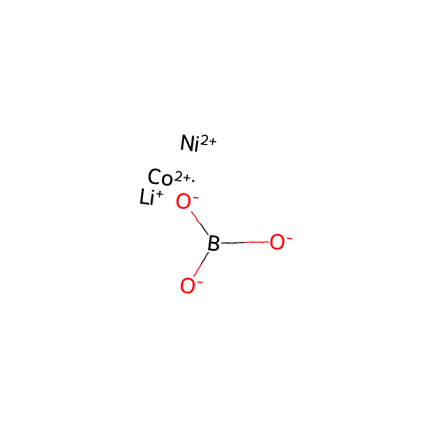 [Co+2].[Li+].[Ni+2].[O-]B([O-])[O-]